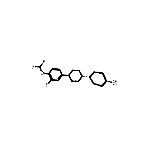 CC[C@H]1CC[C@H](C2CCC(c3ccc(OC(F)F)c(F)c3)CC2)CC1